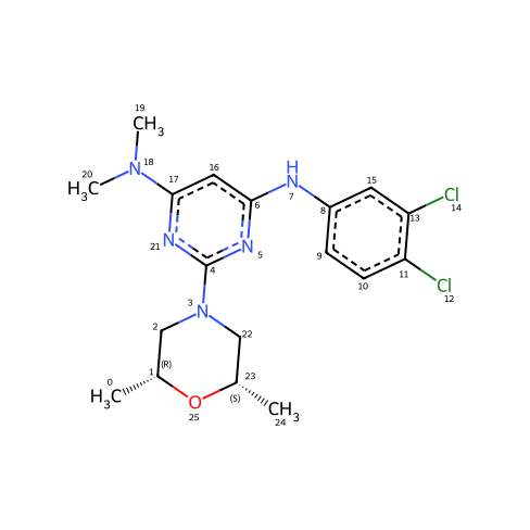 C[C@@H]1CN(c2nc(Nc3ccc(Cl)c(Cl)c3)cc(N(C)C)n2)C[C@H](C)O1